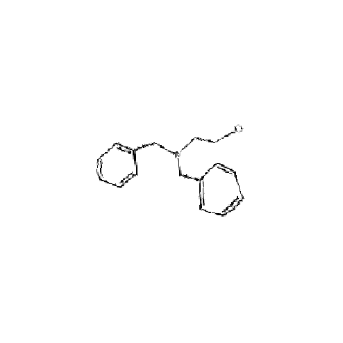 [O]CCN(Cc1ccccc1)Cc1ccccc1